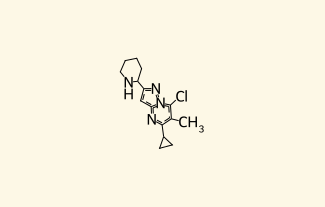 Cc1c(C2CC2)nc2cc(C3CCCCN3)nn2c1Cl